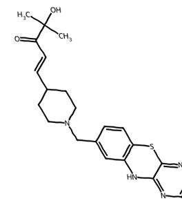 CC(C)(O)C(=O)C=CC1CCN(Cc2ccc3c(c2)Nc2nccnc2S3)CC1